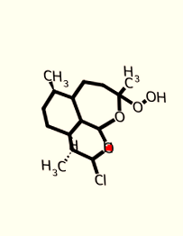 C[C@@H]1CC[C@@H]2C3C1CCC(C)(OO)O[C@H]3OC(Cl)[C@@H]2C